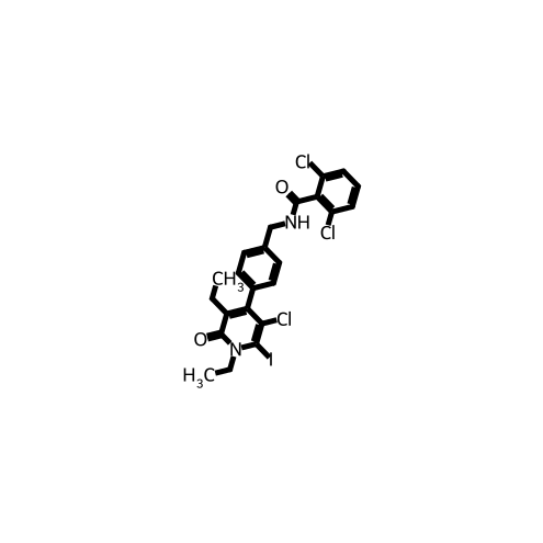 CCc1c(-c2ccc(CNC(=O)c3c(Cl)cccc3Cl)cc2)c(Cl)c(I)n(CC)c1=O